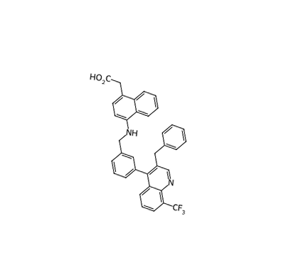 O=C(O)Cc1ccc(NCc2cccc(-c3c(Cc4ccccc4)cnc4c(C(F)(F)F)cccc34)c2)c2ccccc12